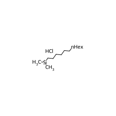 CCCCCCCCCCCC[Si](C)C.Cl